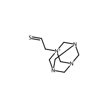 S=CC[N+]12CN3CN(CN(C3)C1)C2